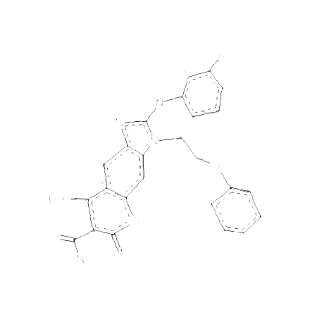 Cc1c(C(N)=O)c(=O)oc2cc3c(cc12)nc(Nc1cccc(I)c1)n3CCOc1ccccc1